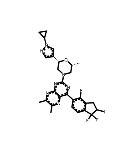 Cc1nc2nc(N3C[C@@H](C)O[C@@H](c4cnn(C5CC5)c4)C3)nc(-c3ccc4c(c3F)CC(I)C4(F)F)c2nc1C